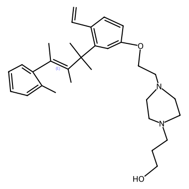 C=Cc1ccc(OCCN2CCN(CCCO)CC2)cc1C(C)(C)/C(C)=C(\C)c1ccccc1C